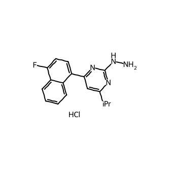 CC(C)c1cc(-c2ccc(F)c3ccccc23)nc(NN)n1.Cl